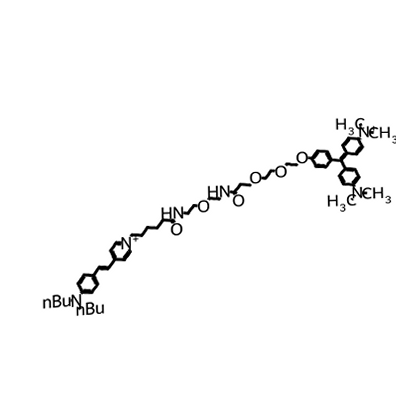 CCCCN(CCCC)c1ccc(/C=C/c2cc[n+](CCCCCC(=O)NCCOCCNC(=O)CCOCCOCCOc3ccc(C(=C4C=CC(=[N+](C)C)C=C4)c4ccc(N(C)C)cc4)cc3)cc2)cc1